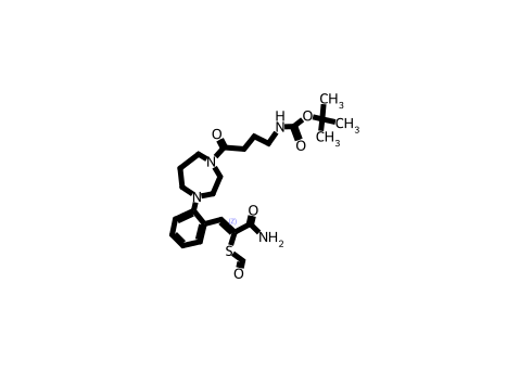 CC(C)(C)OC(=O)NCCCC(=O)N1CCCN(c2ccccc2/C=C(\SC=O)C(N)=O)CC1